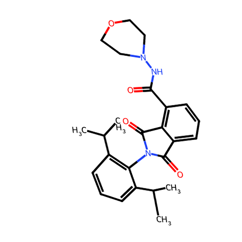 CC(C)c1cccc(C(C)C)c1N1C(=O)c2cccc(C(=O)NN3CCOCC3)c2C1=O